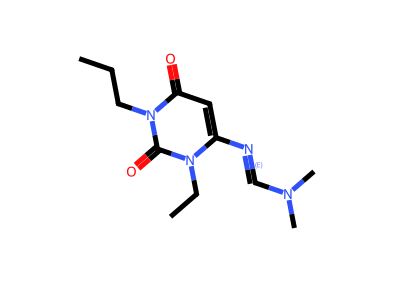 CCCn1c(=O)cc(/N=C/N(C)C)n(CC)c1=O